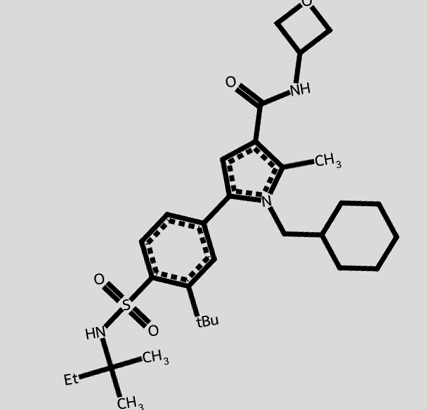 CCC(C)(C)NS(=O)(=O)c1ccc(-c2cc(C(=O)NC3COC3)c(C)n2CC2CCCCC2)cc1C(C)(C)C